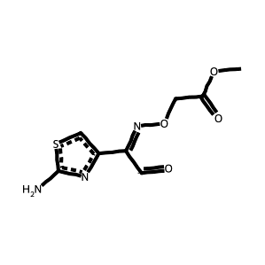 COC(=O)CON=C([C]=O)c1csc(N)n1